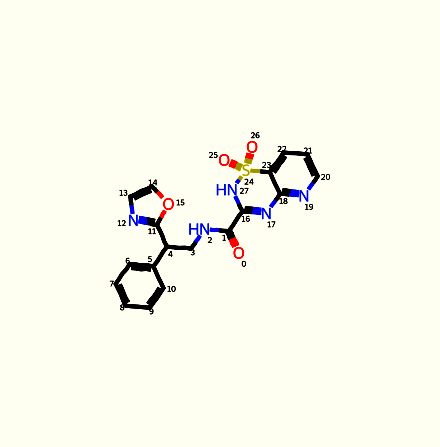 O=C(NCC(c1ccccc1)c1ncco1)C1=Nc2ncccc2S(=O)(=O)N1